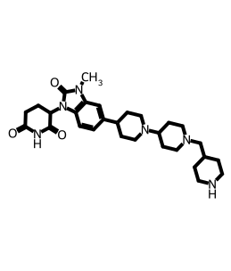 Cn1c(=O)n(C2CCC(=O)NC2=O)c2ccc(C3CCN(C4CCN(CC5CCNCC5)CC4)CC3)cc21